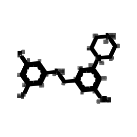 CC(C)(C)c1cc(CNc2cc(F)cc(F)c2)cc(N2CCNCC2)c1